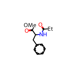 CCC(=O)NC(Cc1ccccc1)C(=O)OC